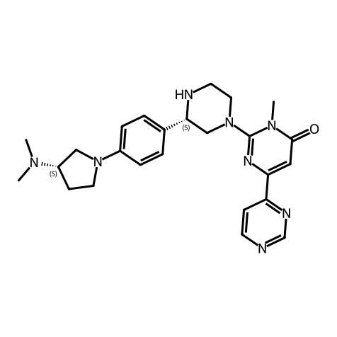 CN(C)[C@H]1CCN(c2ccc([C@H]3CN(c4nc(-c5ccncn5)cc(=O)n4C)CCN3)cc2)C1